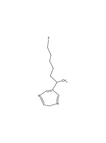 CC(CCCCCF)C1=CN=CCN=C1